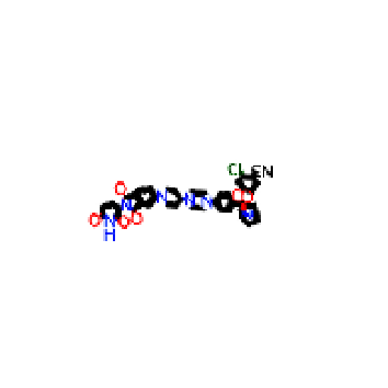 N#Cc1ccc(OC2CC3CCC(C2)N3C(=O)c2ccc(N3CCN(C4CCN(c5ccc6c(c5)C(=O)N(C5CCC(=O)NC5=O)C6=O)CC4)CC3)cc2)cc1Cl